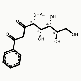 CC(=O)N[C@@H](C(=O)CC(=O)c1ccccc1)[C@@H](O)[C@H](O)[C@H](O)CO